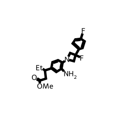 CCC(CC(=O)OC)c1ccc(N2CC(F)(c3ccc(F)cc3)C2)c(N)c1